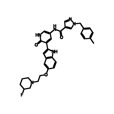 Cc1ccc(Cn2cc(C(=O)Nc3c[nH]c(=O)c(-c4cc5cc(OCCN6CCCC(F)C6)ccc5[nH]4)c3)cn2)cc1